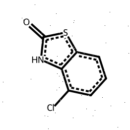 O=c1[nH]c2c(Cl)cccc2s1